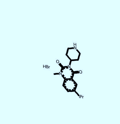 Br.CC(C)c1ccc2c(c1)c(=O)n(C1CCNCC1)c(=O)n2C